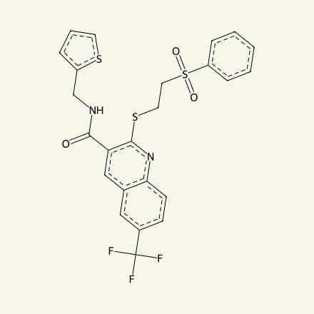 O=C(NCc1cccs1)c1cc2cc(C(F)(F)F)ccc2nc1SCCS(=O)(=O)c1ccccc1